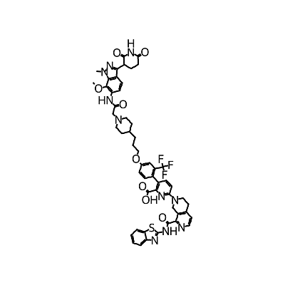 COc1c(NC(=O)CN2CCC(CCCOc3ccc(-c4ccc(N5CCc6ccnc(C(=O)Nc7nc8ccccc8s7)c6C5)nc4C(=O)O)c(C(F)(F)F)c3)CC2)ccc2c(C3CCC(=O)NC3=O)nn(C)c12